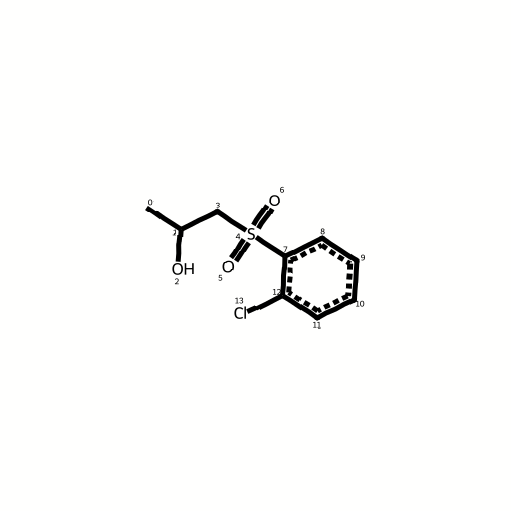 CC(O)CS(=O)(=O)c1ccccc1Cl